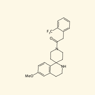 COc1ccc2c(c1)CCNC21CCN(C(=O)Cc2ccccc2C(F)(F)F)CC1